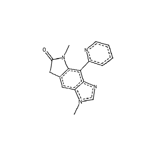 CN1C(=O)Cc2cc3c(ncn3C)c(-c3ccccn3)c21